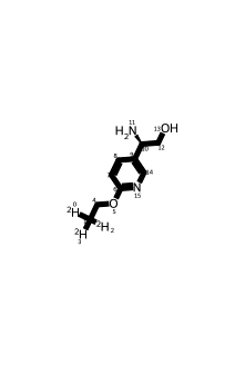 [2H]C([2H])([2H])COc1ccc([C@@H](N)CO)cn1